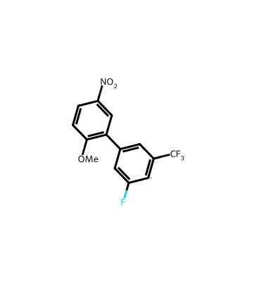 COc1ccc([N+](=O)[O-])cc1-c1cc(F)[c]c(C(F)(F)F)c1